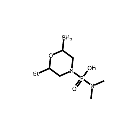 BC1CN(P(=O)(O)N(C)C)CC(CC)O1